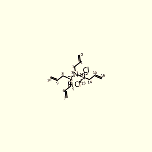 C=CCN([SiH](CC=C)CC=C)[Si](Cl)(Cl)CC=C